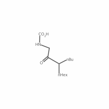 CCCCCCC(CCCC)C(=O)CNC(=O)O